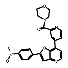 C[S@@+]([O-])c1ccc(-c2cc3nccc(-c4ccnc(C(=O)N5CCOCC5)c4)c3o2)cc1